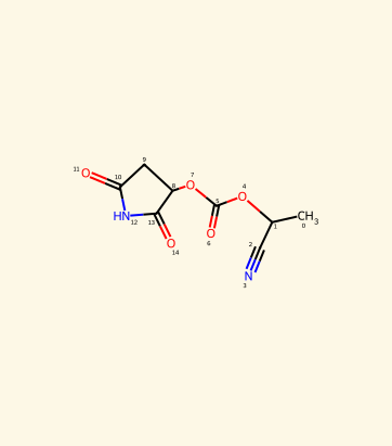 CC(C#N)OC(=O)OC1CC(=O)NC1=O